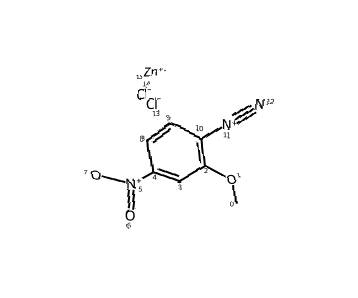 COc1cc([N+](=O)[O-])ccc1[N+]#N.[Cl-].[Cl-].[Zn+]